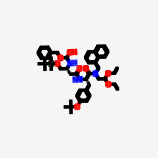 CCOC(CN(Cc1cccc2ccccc12)C(=O)[C@H](Cc1ccc(OC(C)(C)C)cc1)NC(=O)C[C@H](CO[Si](C)(C)C(C)(C)C)NC(O)OCc1ccccc1)OCC